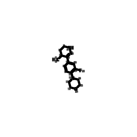 CC1CCNN=C1c1ccc(N2CCOCC2)c(F)c1